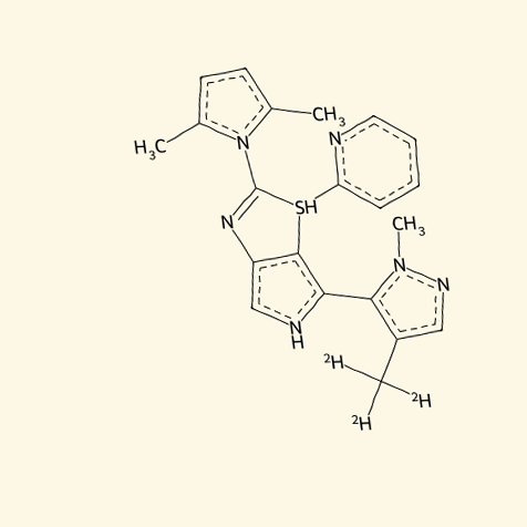 [2H]C([2H])([2H])c1cnn(C)c1-c1[nH]cc2c1[SH](c1ccccn1)C(n1c(C)ccc1C)=N2